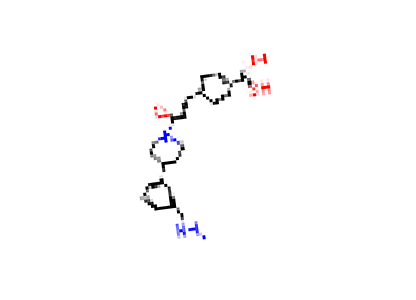 NCc1cccc(C2CCN(C(=O)C=Cc3ccc(B(O)O)cc3)CC2)c1